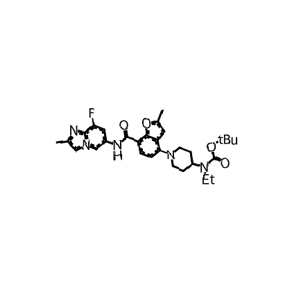 CCN(C(=O)OC(C)(C)C)C1CCN(c2ccc(C(=O)Nc3cc(F)c4nc(C)cn4c3)c3oc(C)cc23)CC1